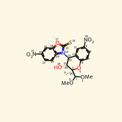 COC(OC)[C@]1(C)Oc2ccc([N+](=O)[O-])cc2[C@H](n2c(=S)oc3cc([N+](=O)[O-])ccc32)[C@H]1O